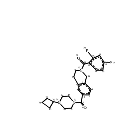 O=C(c1ccc2c(c1)CCN(C(=O)c1ccc(F)cc1F)C2)N1CCN(C2CCC2)CC1